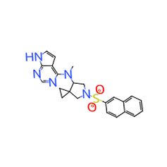 CN(c1ncnc2[nH]ccc12)C1CN(S(=O)(=O)c2ccc3ccccc3c2)CC12CC2